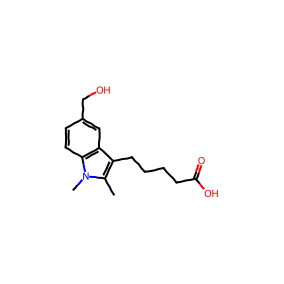 Cc1c(CCCCC(=O)O)c2cc(CO)ccc2n1C